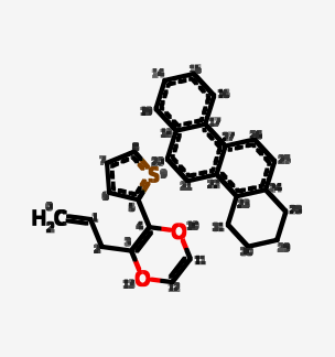 C=CCC1=C(c2cccs2)OC=CO1.c1ccc2c(c1)ccc1c3c(ccc12)CCCC3